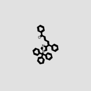 O=C(/C=C/C=C(/c1ccccc1)c1cn(C(c2ccccc2)(c2ccccc2)c2ccccc2)cn1)c1ccccc1